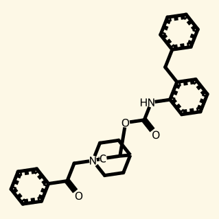 O=C(Nc1ccccc1Cc1ccccc1)OC1C[N+]2(CC(=O)c3ccccc3)CCC1CC2